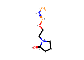 O=C1CCCN1CCOP=NP